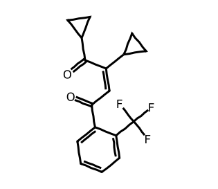 O=C(C=C(C(=O)C1CC1)C1CC1)c1ccccc1C(F)(F)F